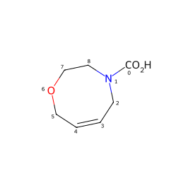 O=C(O)N1CC=CCOCC1